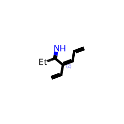 C=C/C=C(/C=C)C(=N)CC